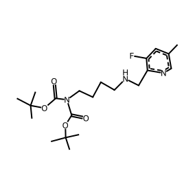 Cc1cnc(CNCCCCN(C(=O)OC(C)(C)C)C(=O)OC(C)(C)C)c(F)c1